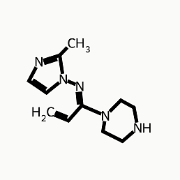 C=C/C(=N\n1ccnc1C)N1CCNCC1